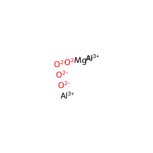 [Al+3].[Al+3].[Mg+2].[O-2].[O-2].[O-2].[O-2]